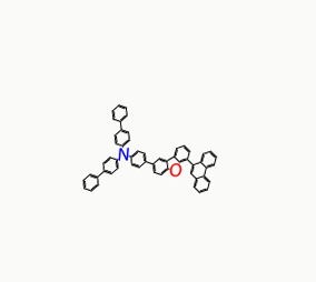 c1ccc(-c2ccc(N(c3ccc(-c4ccccc4)cc3)c3ccc(-c4ccc5oc6c(-c7cc8ccccc8c8ccccc78)cccc6c5c4)cc3)cc2)cc1